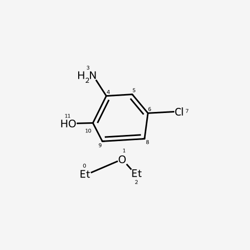 CCOCC.Nc1cc(Cl)ccc1O